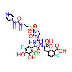 O=C(NCCCS(=O)(=O)N1CCN(C(=O)NC(C(=O)N[C@H]2Cc3ccc(F)c(C(=O)O)c3OB2O)c2cc(F)c(O)c(O)c2Cl)C1=O)Nc1ccncc1